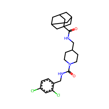 O=C(NCc1ccc(Cl)cc1Cl)N1CCC(CNC(=O)C23CC4CC(CC(C4)C2)C3)CC1